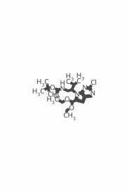 CCOC(OCC)c1cc2cnc(Cl)nc2n1C(CNC(=O)OC(C)(C)C)C(C)C